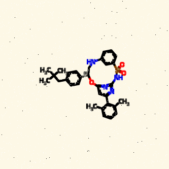 Cc1cccc(C)c1-c1cc2nc(n1)NS(=O)(=O)c1cccc(c1)NC[C@@H](c1ccc(CC(C)(C)C)cc1)O2